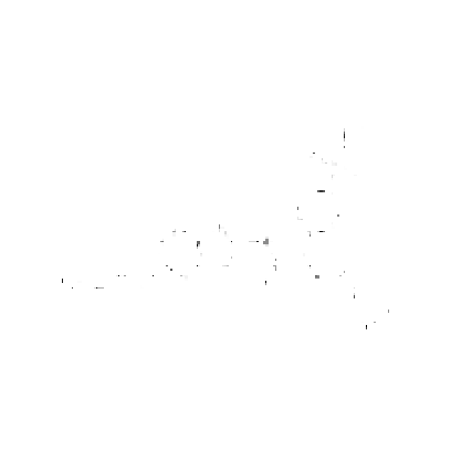 NCCOc1ccc2nc(NC(=O)/C(=N/O[C@@H]3CCOC3)c3ccc(S(=O)(=O)C4CC4)cc3)sc2n1